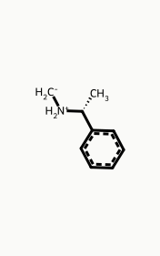 [CH2-][NH2+][C@H](C)c1ccccc1